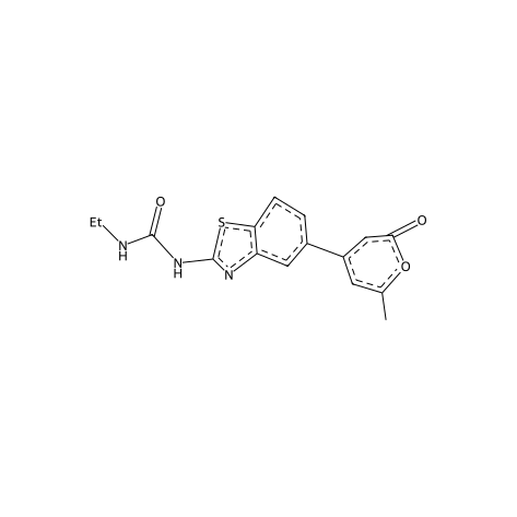 CCNC(=O)Nc1nc2cc(-c3cc(C)oc(=O)c3)ccc2s1